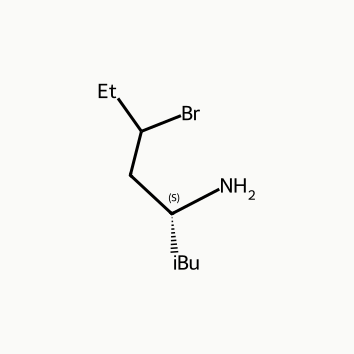 CCC(Br)C[C@H](N)C(C)CC